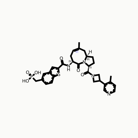 C/C1=C/C[C@H](NC(=O)c2cc3cc(CP(=O)(O)O)ccc3s2)C(=O)N2[C@H](CC[C@H]2C(=O)N2CC(c3cnccc3C)C2)C1